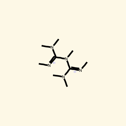 C/N=C(/N(C)C)N(C)/C(=N/C)N(C)C